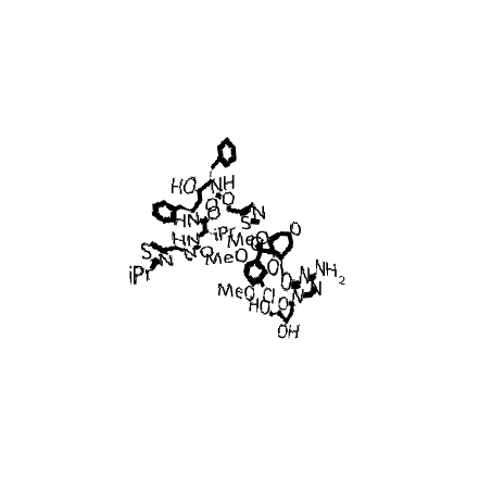 CC(C)c1nc(CN(C)C(=O)N[C@H](C(=O)N[C@@H](Cc2ccccc2)C[C@H](O)[C@H](Cc2ccccc2)NC(=O)OCc2cncs2)C(C)C)cs1.COC1=CC(=O)C[C@@H](C)[C@]12Oc1c(Cl)c(OC)cc(OC)c1C2=O.Nc1ncn([C@H]2C[C@H](O)[C@@H](CO)O2)c(=O)n1